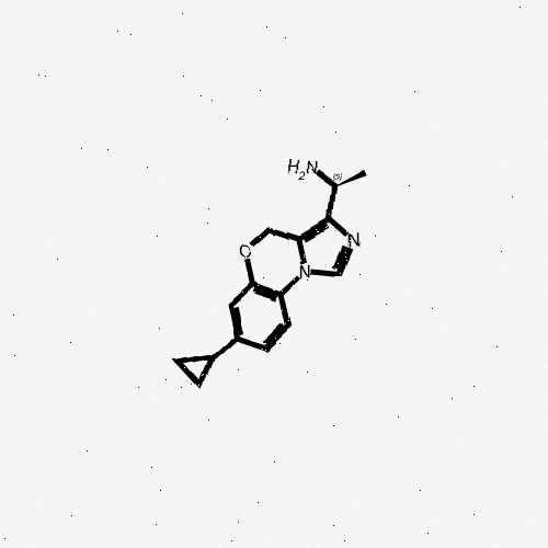 C[C@H](N)c1ncn2c1COc1cc(C3CC3)ccc1-2